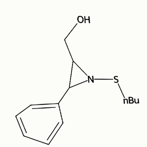 CCCCSN1C(CO)C1c1ccccc1